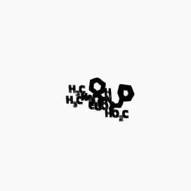 CN(C)N(C=O)C1(C(=O)NC(Cc2ccccc2)C(=O)O)CCCCC1